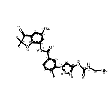 Cc1ccc(C(=O)Nc2cc(C(C)(C)C)cc3c2OC(C)(C)C3=O)cc1-n1cc(OC(=O)NCC(C)(C)C)nn1